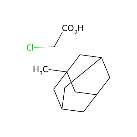 CC12CC3CC(CC(C3)C1)C2.O=C(O)CCl